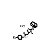 CCc1ccc(NC(=O)CC2CSC(=NC34CC5CC(CC(C5)C3)C4)N2C)cc1.Cl